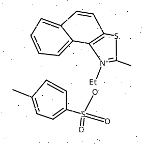 CC[n+]1c(C)sc2ccc3ccccc3c21.Cc1ccc(S(=O)(=O)[O-])cc1